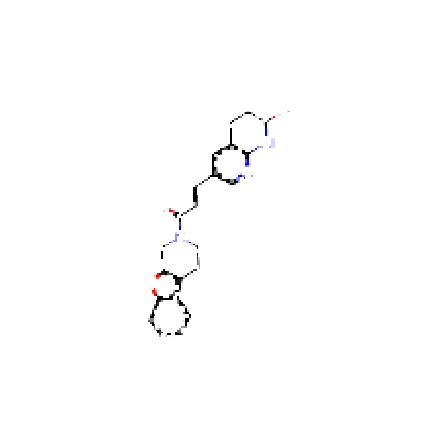 O=C(/C=C/c1cnc2c(c1)CCC(O)N2)N1CCc2c(oc3ccccc23)C1